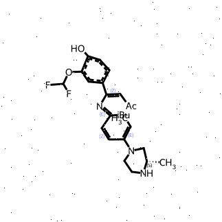 C\C=C(/C=C\C(=N\C(=C/C(C)=O)c1ccc(O)c(OC(F)F)c1)C(C)CC)N1CCN[C@@H](C)C1